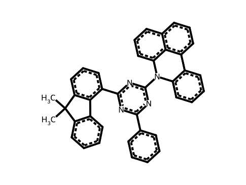 CC1(C)c2ccccc2-c2c(-c3nc(-c4ccccc4)nc(N4c5ccccc5-c5cccc6cccc4c56)n3)cccc21